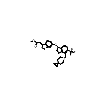 COC(=O)CC1COc2cc(O[C@@H]3CCc4c3ccc(C(F)(F)F)c4CN3CCC4(CC3)CC4)ccc21